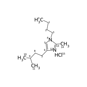 CCCCn1cc(CCC(C)C)nc1C.Cl